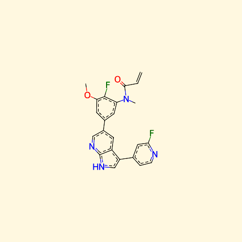 C=CC(=O)N(C)c1cc(-c2cnc3[nH]cc(-c4ccnc(F)c4)c3c2)cc(OC)c1F